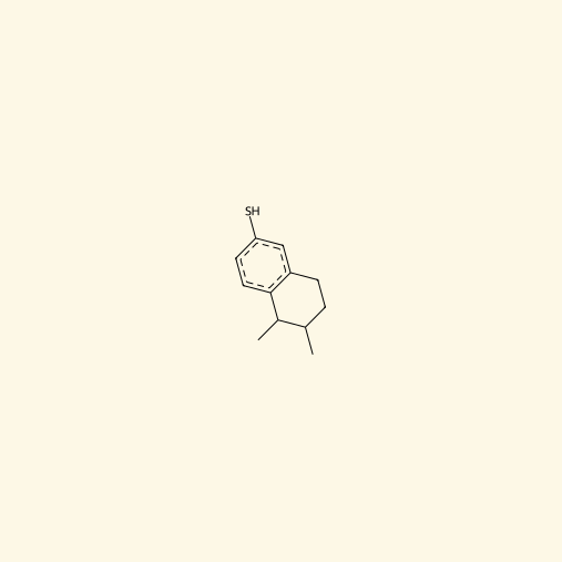 CC1CCc2cc(S)ccc2C1C